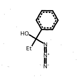 CCC(O)(N=[N+]=[N-])c1ccccc1